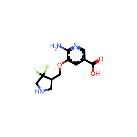 Nc1ncc(C(=O)O)cc1OCC1CNCC1(F)F